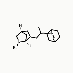 CCN1C[C@H]2CC(CC(C)N3CC4CCC3CC4)[C@@H]1C2